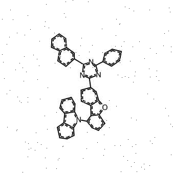 c1ccc(-c2nc(-c3ccc4ccccc4c3)nc(-c3ccc4c(c3)oc3cccc(-n5c6ccccc6c6ccccc65)c34)n2)cc1